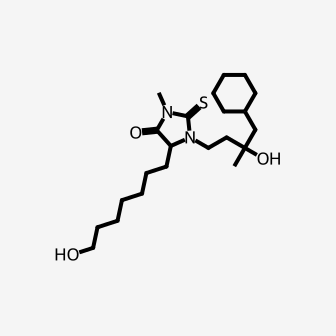 CN1C(=O)C(CCCCCCCO)N(CCC(C)(O)CC2CCCCC2)C1=S